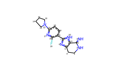 N=C1NCCc2nc(-c3ccc(N4CCCC4)nc3F)[nH]c21